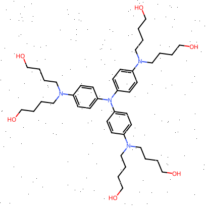 OCCCCN(CCCCO)c1ccc(N(c2ccc(N(CCCCO)CCCCO)cc2)c2ccc(N(CCCCO)CCCCO)cc2)cc1